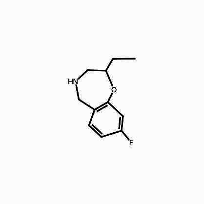 CCC1CNCc2ccc(F)cc2O1